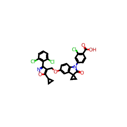 O=C(O)c1ccc(N2C(=O)C3(CC3)c3cc(OCc4c(-c5c(Cl)cccc5Cl)noc4C4CC4)ccc32)cc1Cl